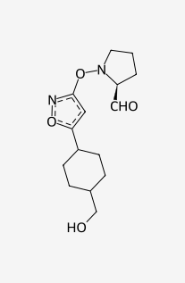 O=C[C@@H]1CCCN1Oc1cc(C2CCC(CO)CC2)on1